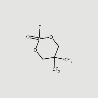 O=P1(F)OCC(C(F)(F)F)(C(F)(F)F)CO1